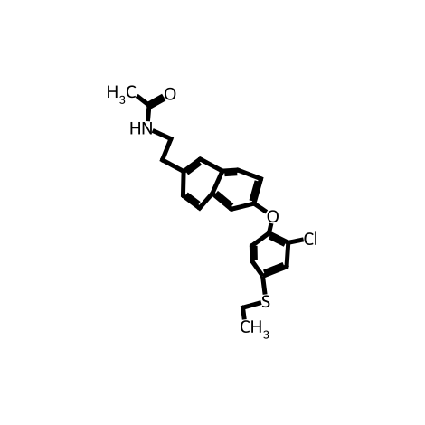 CCSc1ccc(Oc2ccc3cc(CCNC(C)=O)ccc3c2)c(Cl)c1